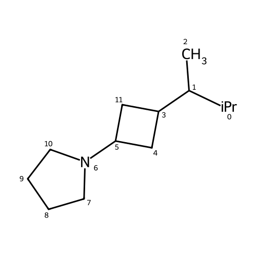 CC(C)C(C)C1CC(N2CCCC2)C1